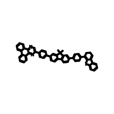 CC1(C)c2cc(-c3ccc(C4=c5sc6ccccc6c5=CCC4)cc3)ccc2-c2ccc(-c3ccc(-c4cnc5c6ccccc6c6ccccc6c5n4)cc3)cc21